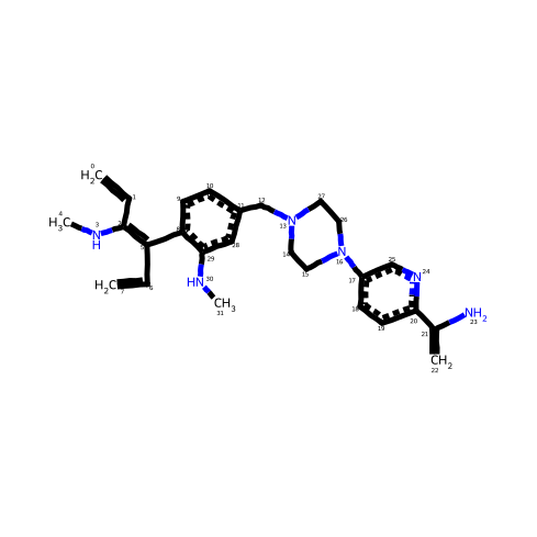 C=C/C(NC)=C(/C=C)c1ccc(CN2CCN(c3ccc(C(=C)N)nc3)CC2)cc1NC